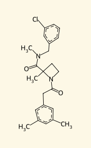 Cc1cc(C)cc(CC(=O)N2CCC2(C)C(=O)N(C)Cc2cccc(Cl)c2)c1